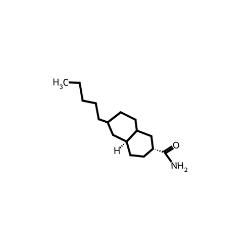 CCCCCC1CCC2C[C@H](C(N)=O)CC[C@H]2C1